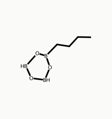 CCCCB1OBOBO1